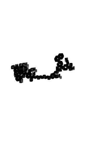 COc1cc(C(=O)NCCOCCOCCO[C@@H]2C[C@@H](COc3nc4c(c(N5CCN(C(=O)O)C(CC#N)C5)n3)CCN(c3cccc5ccccc35)C4)N(C)C2)ccc1NC(=O)[C@@H]1N[C@@H](CC(C)(C)C)[C@](C#N)(c2ccc(Cl)cc2F)[C@H]1c1cccc(Cl)c1F